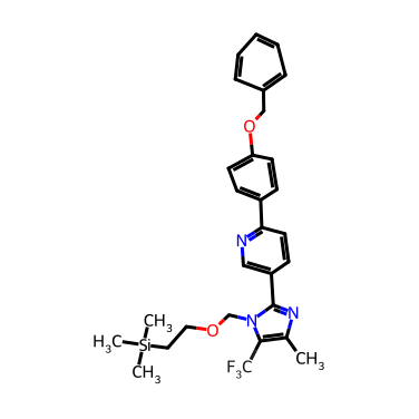 Cc1nc(-c2ccc(-c3ccc(OCc4ccccc4)cc3)nc2)n(COCC[Si](C)(C)C)c1C(F)(F)F